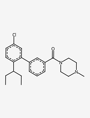 CCC(CC)c1ccc(Cl)cc1-c1cccc(C(=O)N2CCN(C)CC2)c1